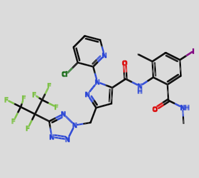 CNC(=O)c1cc(I)cc(C)c1NC(=O)c1cc(Cn2nnc(C(F)(C(F)(F)F)C(F)(F)F)n2)nn1-c1ncccc1Cl